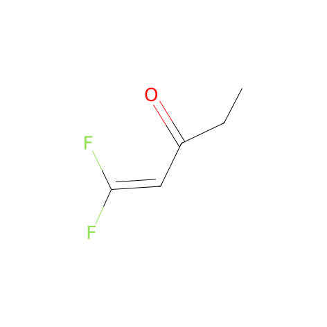 CCC(=O)C=C(F)F